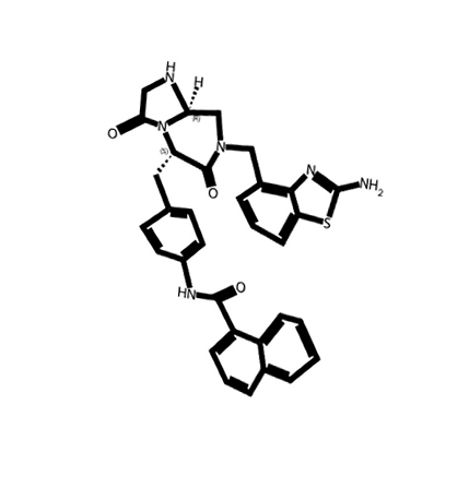 Nc1nc2c(CN3C[C@@H]4NCC(=O)N4[C@@H](Cc4ccc(NC(=O)c5cccc6ccccc56)cc4)C3=O)cccc2s1